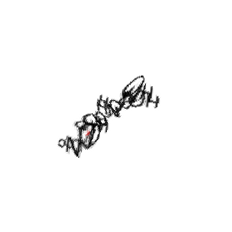 O=C(OCC1CCN(Cc2ccccc2)CC1)C(O)(c1ccccc1)c1cccc(OCCCCCNCC(O)c2ccc(O)c3[nH]c(=O)ccc23)c1